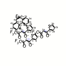 O=C(/C=C(\[O-])c1cccs1)C(F)(F)F.O=C(/C=C(\[O-])c1cccs1)C(F)(F)F.O=C(/C=C(\[O-])c1cccs1)C(F)(F)F.[Eu+3].c1cnc2c(c1)ccc1cccnc12